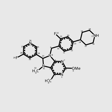 COc1nc(C)c2c(n1)N(Cc1ccc(C3CCNCC3)cc1F)C(c1cncc(F)c1)N2C